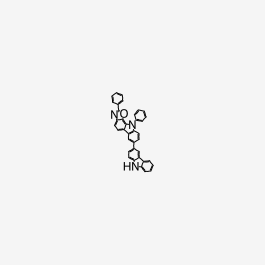 c1ccc(-c2nc3ccc4c5cc(-c6ccc7[nH]c8ccccc8c7c6)ccc5n(-c5ccccc5)c4c3o2)cc1